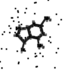 Nc1nc(N)c2c(Br)n[nH]c2n1